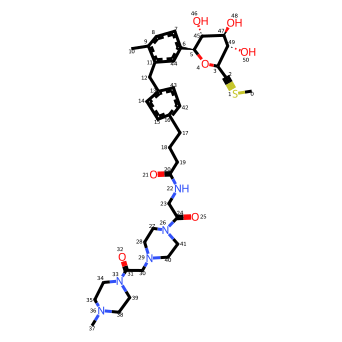 CS#CC1O[C@@H](c2ccc(C)c(Cc3ccc(CCCC(=O)NCC(=O)N4CCN(CC(=O)N5CCN(C)CC5)CC4)cc3)c2)[C@H](O)[C@@H](O)[C@@H]1O